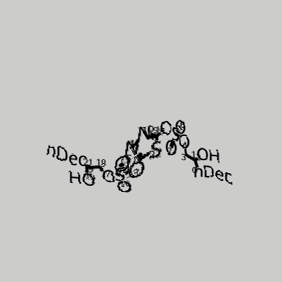 CCCCCCCCCCC(O)COS(=O)(=O)Oc1nnc(OS(=O)(=O)OCC(O)CCCCCCCCCC)s1